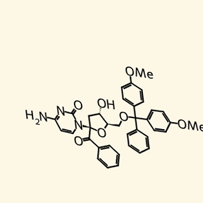 COc1ccc(C(OC[C@H]2O[C@@](C(=O)c3ccccc3)(n3ccc(N)nc3=O)C[C@@H]2O)(c2ccccc2)c2ccc(OC)cc2)cc1